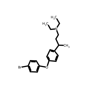 CCN(CC)CCC(C)c1ccc(Oc2ccc(Br)cc2)cc1